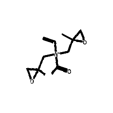 C=C[N+](CC1(C)CO1)(CC1(C)CO1)C(C)=O